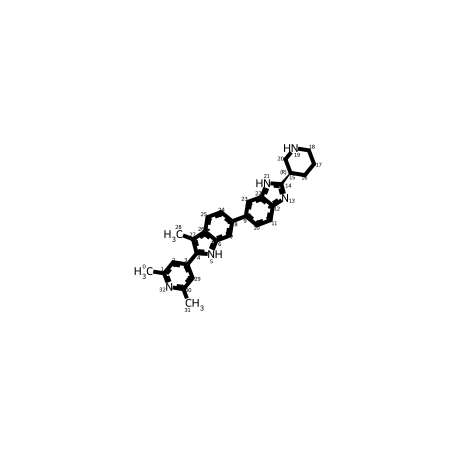 Cc1cc(-c2[nH]c3cc(-c4ccc5nc([C@@H]6CCCNC6)[nH]c5c4)ccc3c2C)cc(C)n1